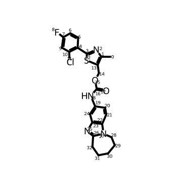 Cc1nc(-c2ccc(F)cc2Cl)sc1COC(=O)Nc1ccc2c(c1)nc1n2CCCCC1